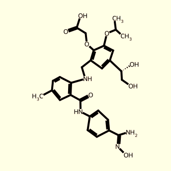 Cc1ccc(NCc2cc([C@H](O)CO)cc(OC(C)C)c2OCC(=O)O)c(C(=O)Nc2ccc(/C(N)=N/O)cc2)c1